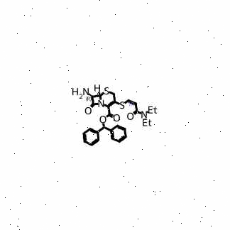 CCN(CC)C(=O)/C=C\SC1=C(C(=O)OC(c2ccccc2)c2ccccc2)N2C(=O)[C@@H](N)[C@@H]2SC1